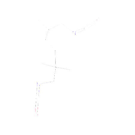 CC(CCC(C)(C)CN=C=O)CN=C=O